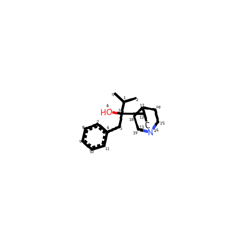 CC(C)C(O)(Cc1ccccc1)C1CN2CCC1CC2